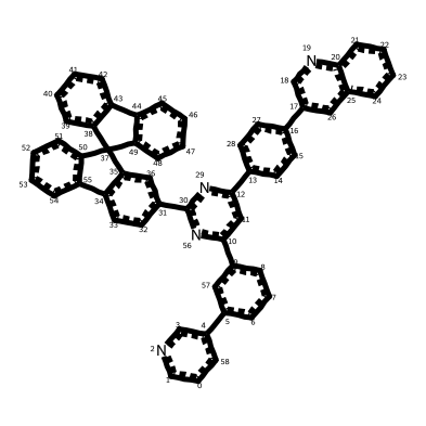 c1cncc(-c2cccc(-c3cc(-c4ccc(-c5cnc6ccccc6c5)cc4)nc(-c4ccc5c(c4)C4(c6ccccc6-c6ccccc64)c4ccccc4-5)n3)c2)c1